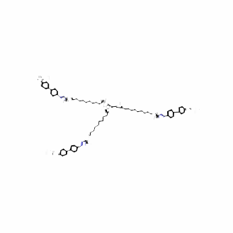 CCCOc1ccc(-c2ccc(/C=C/C(=O)OCCCCCCCCCC(=O)OCC(COC(=O)CCCCCCCCCOC(=O)/C=C/c3ccc(-c4ccc(OCCC)cc4)cc3)OC(=O)CCCCCCCCCOC(=O)/C=C/c3ccc(-c4ccc(OCCC)cc4)cc3)cc2)cc1